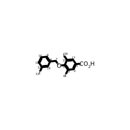 O=C(O)c1cc(I)c(OCc2cccc(I)c2)c(I)c1